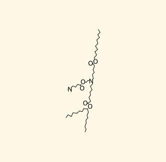 CCCCCCCCCCCOC(=O)CCCCCN(CCCCCCCC(=O)OC(CCCCCCCC)CCCCCCCC)CCOC(=O)CCCN(C)C